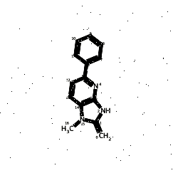 C=C1Nc2nc(-c3ccccc3)ccc2N1C